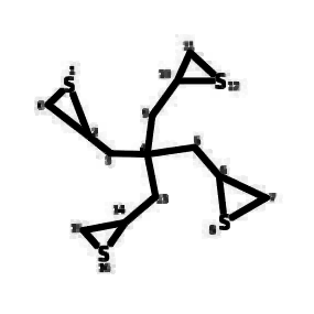 C1SC1CC(CC1CS1)(CC1CS1)CC1CS1